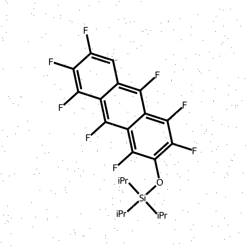 CC(C)[Si](Oc1c(F)c(F)c2c(F)c3[c]c(F)c(F)c(F)c3c(F)c2c1F)(C(C)C)C(C)C